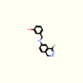 Oc1cccc(CNc2ccc3c(c2)C(Cl)=NNC3)c1